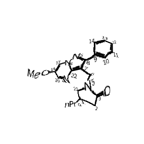 CCCC1CC(=O)N(Cc2c(-c3ccccc3)nn3cc(OC)cnc23)C1